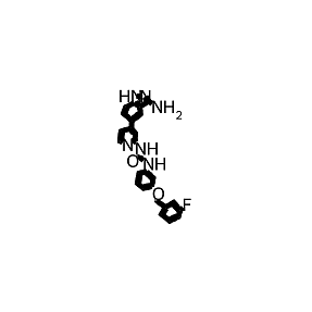 Nc1n[nH]c2ccc(-c3ccnc(NC(=O)Nc4cccc(OCc5cccc(F)c5)c4)c3)cc12